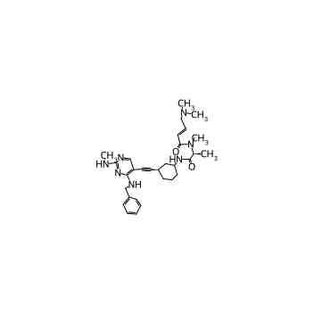 CNc1ncc(C#C[C@@H]2CCC[C@H](NC(=O)[C@H](C)N(C)C(=O)/C=C/CN(C)C)C2)c(NCc2ccccc2)n1